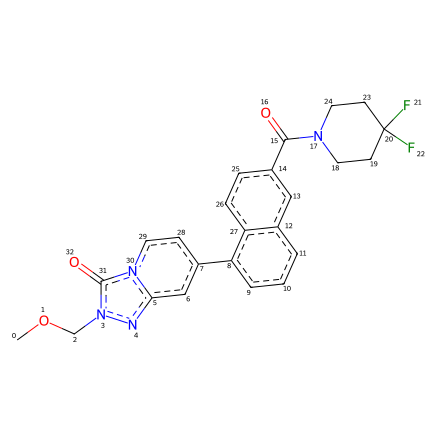 COCn1nc2cc(-c3cccc4cc(C(=O)N5CCC(F)(F)CC5)ccc34)ccn2c1=O